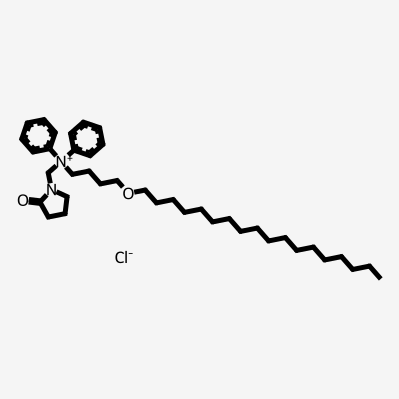 CCCCCCCCCCCCCCCCCCOCCCC[N+](CN1CCCC1=O)(c1ccccc1)c1ccccc1.[Cl-]